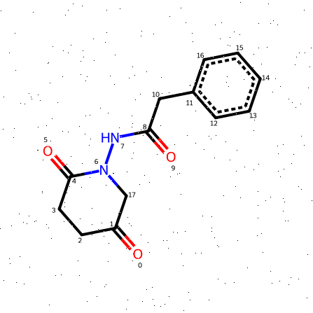 O=C1CCC(=O)N(NC(=O)Cc2ccccc2)C1